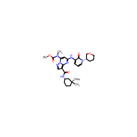 CO[C@@]1(C)CCC[C@H](NC(=O)c2cnn3c(N(C)C(=O)OC(C)(C)C)cc(Nc4cccn([C@H]5CCCOC5)c4=O)nc23)C1